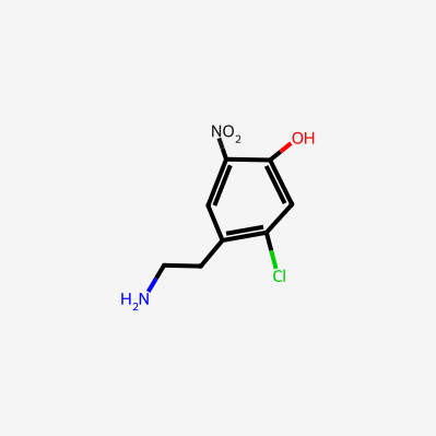 NCCc1cc([N+](=O)[O-])c(O)cc1Cl